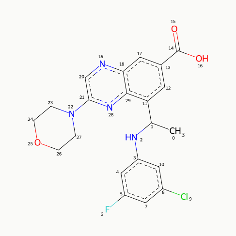 CC(Nc1cc(F)cc(Cl)c1)c1cc(C(=O)O)cc2ncc(N3CCOCC3)nc12